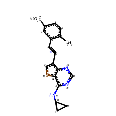 CCOC(=O)c1ccc(C)c(/C=C/c2csc3c(NC4CC4)ncnc23)c1